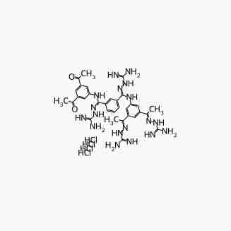 CC(=O)c1cc(NC(=NNC(=N)N)c2cccc(C(=NNC(=N)N)Nc3cc(C(C)=NNC(=N)N)cc(C(C)=NNC(=N)N)c3)c2)cc(C(C)=O)c1.Cl.Cl.Cl.Cl